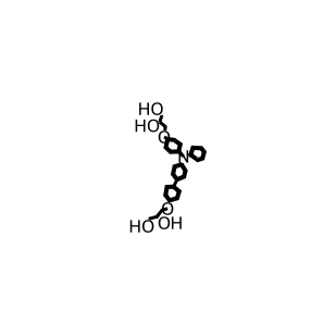 OCC(O)COc1ccc(-c2ccc(N(c3ccccc3)c3ccc(OCC(O)CO)cc3)cc2)cc1